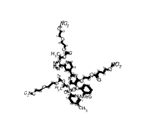 COc1ccccc1Oc1c(OCCOC(=O)CCCO[N+](=O)[O-])nc(-c2ccnc(-c3nnnn3C(C)OC(=O)OCCOCCO[N+](=O)[O-])c2)nc1N(C(C)OC(=O)OCCOCCO[N+](=O)[O-])S(=O)(=O)c1ccc(C)cn1